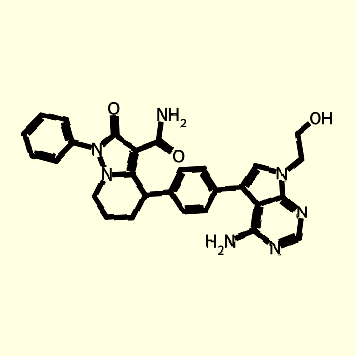 NC(=O)c1c2n(n(-c3ccccc3)c1=O)CCCC2c1ccc(-c2cn(CCO)c3ncnc(N)c23)cc1